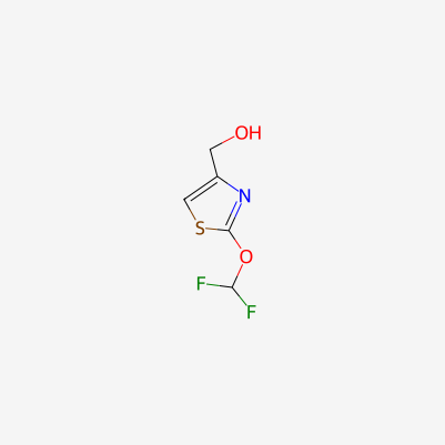 OCc1csc(OC(F)F)n1